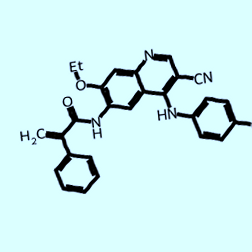 C=C(C(=O)Nc1cc2c(Nc3ccc(Cl)cc3)c(C#N)cnc2cc1OCC)c1ccccc1